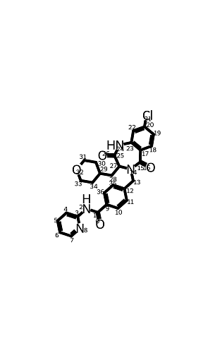 O=C(Nc1ccccn1)c1ccc(CN2C(=O)c3ccc(Cl)cc3NC(=O)C2CC2CCOCC2)cc1